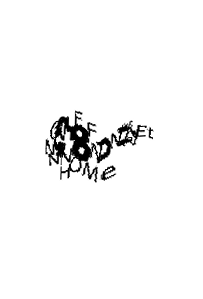 CCN1[C@H](C)CN(C2CCN(c3ccc(Nc4cc(N5OCCC5c5cccc(F)c5F)ncn4)c(OC)c3)CC2)C[C@@H]1C